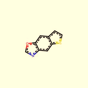 c1nc2cc3sccc3cc2o1